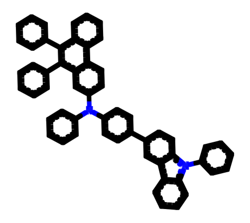 c1ccc(-c2c(-c3ccccc3)c3cc(N(c4ccccc4)c4ccc(-c5ccc6c(c5)c5ccccc5n6-c5ccccc5)cc4)ccc3c3ccccc23)cc1